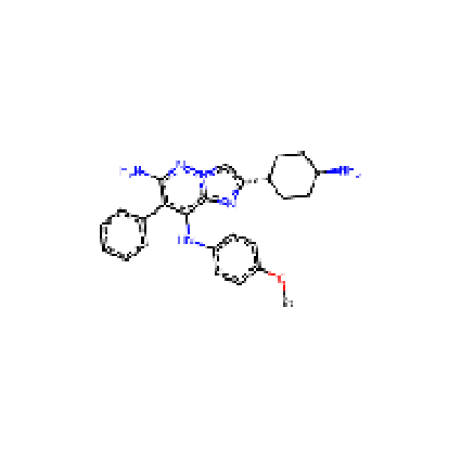 CCOc1ccc(Nc2c(-c3ccccc3)c(N)nn3cc([C@H]4CC[C@H](N)CC4)nc23)cc1